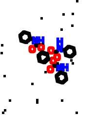 O=C(NC1CCCCC1)Oc1cccc(OC(=O)NC2CCCCC2)c1OC(=O)NC1CCCCC1